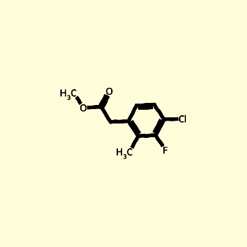 COC(=O)Cc1ccc(Cl)c(F)c1C